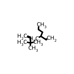 C=CC(C)(C)C.C=CC(C)CCC